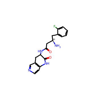 N[C@@H](CC(=O)NC1Cc2cnccc2NC1=O)Cc1ccccc1F